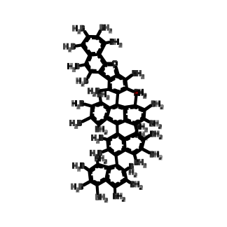 Bc1c(-c2c3c(B)c(B)c(B)c(B)c3c(-c3c(B)c(B)c(-c4c(B)c(B)c(B)c5c(B)c(B)c(B)c(B)c45)c4c(B)c(B)c(B)c(B)c34)c3c(B)c(B)c(B)c(B)c23)c(B)c2c(oc3c4c(B)c(B)c(B)c(B)c4c(B)c(B)c32)c1B